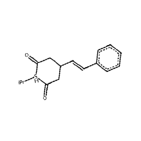 CC(C)[SH]1C(=O)CC(/C=C/c2ccccc2)CC1=O